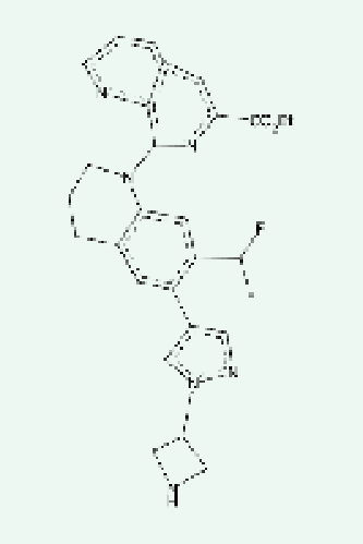 CCOC(=O)c1cc2cccnc2c(N2CCCc3cc(-c4cnn(C5CNC5)c4)c(C(F)F)cc32)n1